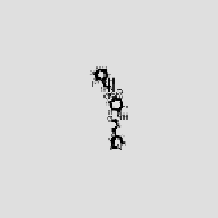 O=C(/C=C/c1ccncc1)Nc1ccc(S(=O)(=O)NCc2ccccc2F)cc1